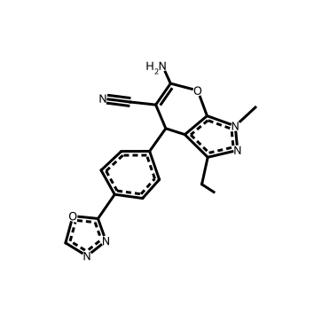 CCc1nn(C)c2c1C(c1ccc(-c3nnco3)cc1)C(C#N)=C(N)O2